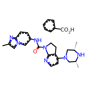 Cc1cn2cc(NC(=O)N3CCc4c(N5C[C@@H](C)N[C@@H](C)C5)ccnc43)ccc2n1.O=C(O)c1ccccc1